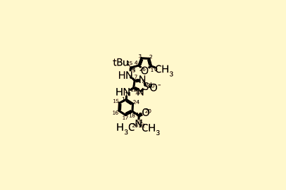 Cc1ccc([C@H](Nc2n[s+]([O-])nc2Nc2cccc(C(=O)N(C)C)c2)C(C)(C)C)o1